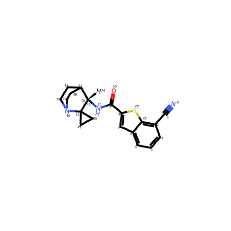 N#Cc1cccc2cc(C(=O)N[C@H]3C4CCN(CC4)C34CC4)sc12